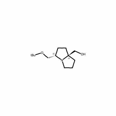 CC(C)(C)OC[C@@H]1CC[C@]2(CO)CCCN12